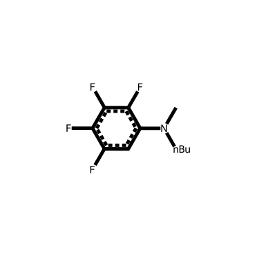 CCCCN(C)c1cc(F)c(F)c(F)c1F